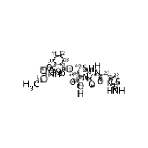 CCOC(=O)NS(=O)(=O)c1ccccc1C(=O)OCC1=C(C(=O)O)N2C(=O)[C@@H](NC(=O)Cc3csc(=N)[nH]3)[C@@H]2SC1